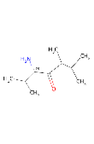 CC(C)C(C)C(=O)[C@@H](N)C(C)C